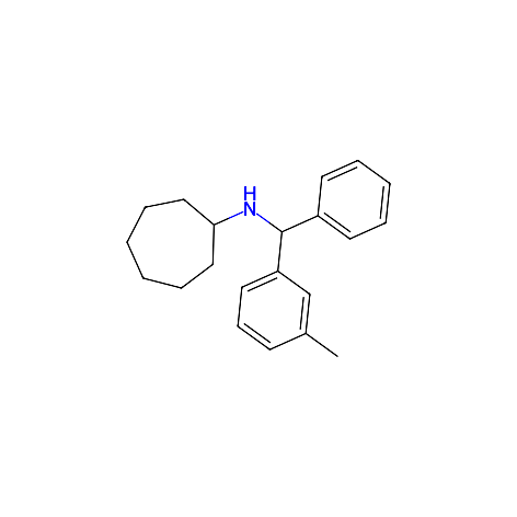 Cc1cccc(C(NC2CCCCCC2)c2ccccc2)c1